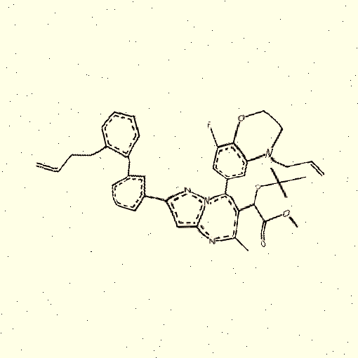 C=CCCc1ccccc1-c1cccc(-c2cc3nc(C)c(C(OC(C)(C)C)C(=O)OC)c(-c4cc(F)c5c(c4)N(CC=C)CCO5)n3n2)c1